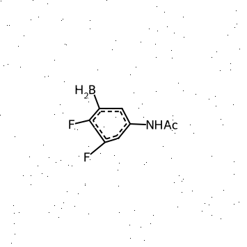 Bc1cc(NC(C)=O)cc(F)c1F